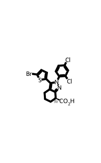 O=C(O)[C@H]1CCCc2c1nn(-c1ccc(Cl)cc1Cl)c2-c1ccc(Br)s1